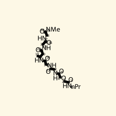 CCCNC(=O)COCC(=O)NCC(=O)NCC(=O)NC(C)CC(=O)NCC(=O)NCC(=O)NC